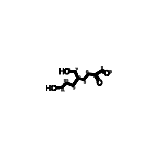 O=CC(=O)CCC(CO)CCCO